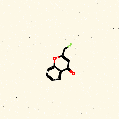 O=c1cc(CF)oc2ccccc12